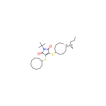 CCC[C@@H](C)[C@H]1CCCCC(SC2=C(SC3CCCCCCCC3)C(=O)N(C(C)(C)C)C2=O)CCC1